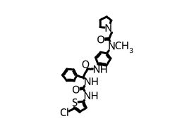 CN(C(=O)CN1CCCC1)c1ccc(NC(=O)C(NC(=O)Nc2ccc(Cl)s2)c2ccccc2)cc1